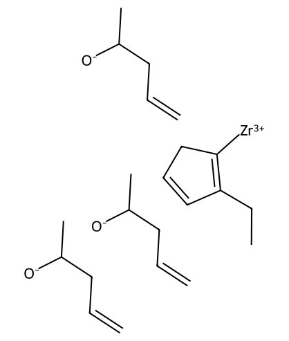 C=CCC(C)[O-].C=CCC(C)[O-].C=CCC(C)[O-].CCC1=[C]([Zr+3])CC=C1